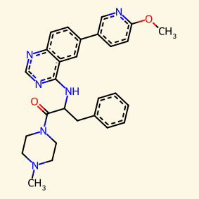 COc1ccc(-c2ccc3ncnc(NC(Cc4ccccc4)C(=O)N4CCN(C)CC4)c3c2)cn1